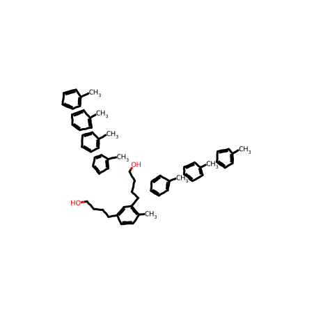 Cc1ccc(CCCCO)cc1CCCCO.Cc1ccccc1.Cc1ccccc1.Cc1ccccc1.Cc1ccccc1.Cc1ccccc1.Cc1ccccc1.Cc1ccccc1